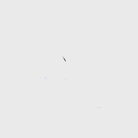 Cc1cccc(CNCC[C@]2(c3cccnc3)CCOC3(CCCC3)C2)c1